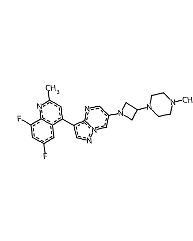 Cc1cc(-c2cnn3cc(N4CC(N5CCN(C)CC5)C4)cnc23)c2cc(F)cc(F)c2n1